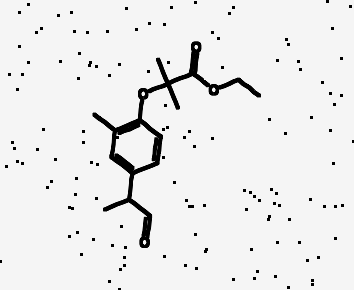 CCOC(=O)C(C)(C)Oc1ccc(C(C)C=O)cc1C